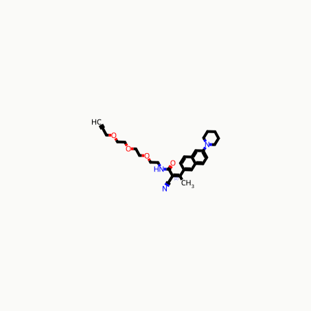 C#CCOCCOCCOCCNC(=O)/C(C#N)=C(/C)c1ccc2cc(N3CCCCC3)ccc2c1